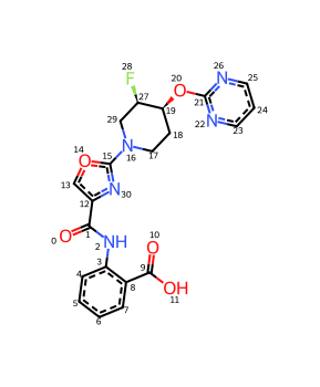 O=C(Nc1ccccc1C(=O)O)c1coc(N2CC[C@H](Oc3ncccn3)[C@H](F)C2)n1